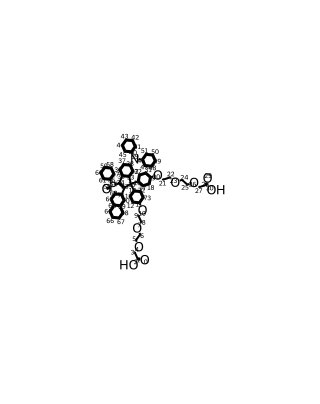 O=C(O)COCCOCCOc1ccc(C2(c3ccc(OCCOCCOCC(=O)O)cc3)C3=C(c4ccc(N(c5ccccc5)c5ccccc5)cc42)P(=O)(c2ccccc2)c2cc4ccccc4cc23)cc1